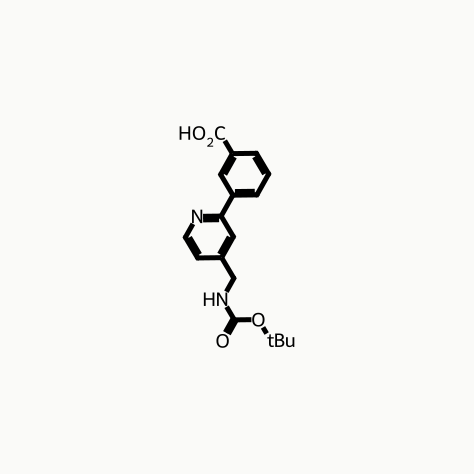 CC(C)(C)OC(=O)NCc1ccnc(-c2cccc(C(=O)O)c2)c1